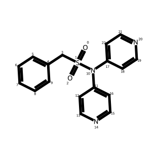 O=S(=O)(Cc1ccccc1)N(c1ccncc1)c1ccncc1